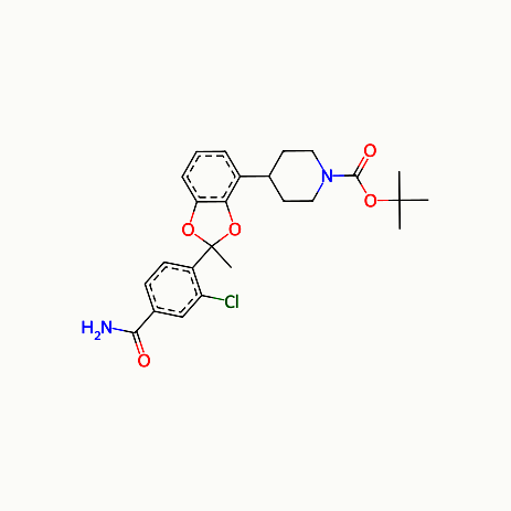 CC(C)(C)OC(=O)N1CCC(c2cccc3c2OC(C)(c2ccc(C(N)=O)cc2Cl)O3)CC1